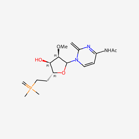 C=C1N=C(NC(C)=O)C=CN1C1O[C@H](CCP(=C)(C)C)[C@@H](O)[C@H]1OC